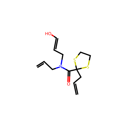 C=CCN(CC=CO)C(=O)C1(CC=C)SCCS1